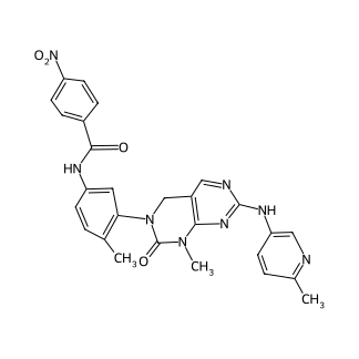 Cc1ccc(Nc2ncc3c(n2)N(C)C(=O)N(c2cc(NC(=O)c4ccc([N+](=O)[O-])cc4)ccc2C)C3)cn1